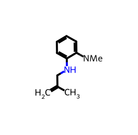 C=C(C)CNc1ccccc1NC